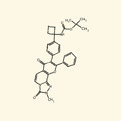 Cn1nc2c3oc(-c4ccccc4)c(-c4ccc(C5(NC(=O)OC(C)(C)C)CCC5)cc4)c(=O)c3ccn2c1=O